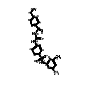 Cc1cc(C)nc(NS(=O)(=O)c2ccc(NC(=S)NC(=O)c3ccc(CC(C)C)cc3)cc2)n1